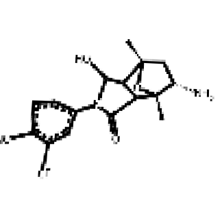 C[C@@]12O[C@@](C)(C[C@@H]1N)C1C(O)N(c3ccc(C#N)c(C(F)(F)F)c3)C(=O)C12